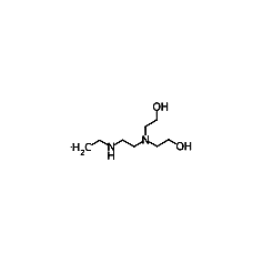 [CH2]CNCCN(CCO)CCO